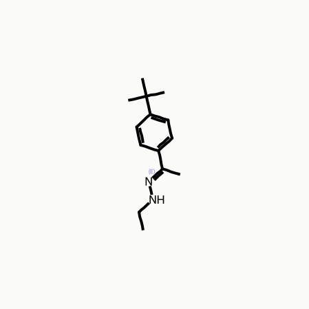 CCN/N=C(\C)c1ccc(C(C)(C)C)cc1